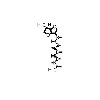 CB(I)B(I)B(I)B(I)B(I)B(I)B(I)B(I)B(I)C1CO[C@H]2C1OC[C@@H]2C